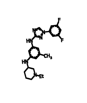 CCN1CCCC(Nc2cc(C)cc(Nc3ncn(-c4cc(F)cc(F)c4)n3)c2)C1